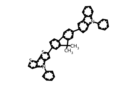 CC1(C)c2cc(-c3ccc4c(c3)c3ccccc3n4-c3ccccc3)ccc2-c2ccc(-c3cc4c(s3)c3sccc3n4-c3ccccc3)cc21